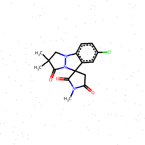 CN1C(=O)CC2(C1=O)c1cc(Cl)ccc1N1CC(C)(C)C(=O)N12